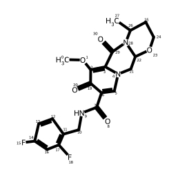 COc1c2n(cc(C(=O)NCc3ccc(F)cc3F)c1=O)CC1OCCC(C)N1C2=O